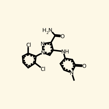 Cn1ccc(Nc2cn(-c3c(Cl)cccc3Cl)nc2C(N)=O)cc1=O